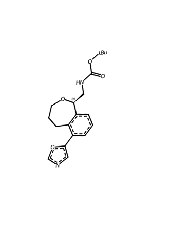 CC(C)(C)OC(=O)NC[C@@H]1OCCCc2c(-c3cnco3)cccc21